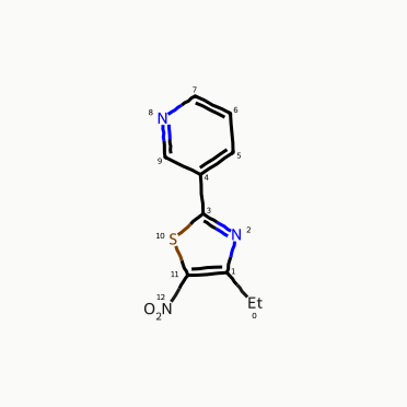 CCc1nc(-c2cccnc2)sc1[N+](=O)[O-]